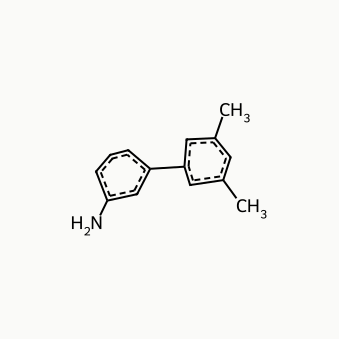 Cc1cc(C)cc(-c2cccc(N)c2)c1